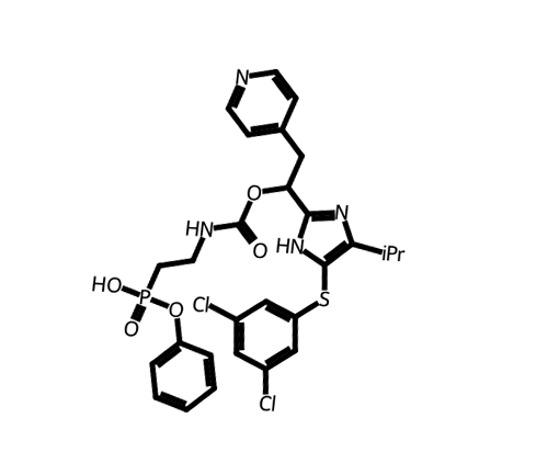 CC(C)c1nc(C(Cc2ccncc2)OC(=O)NCCP(=O)(O)Oc2ccccc2)[nH]c1Sc1cc(Cl)cc(Cl)c1